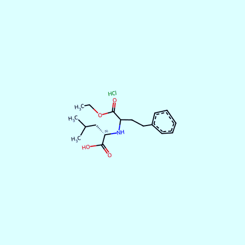 CCOC(=O)C(CCc1ccccc1)N[C@@H](CC(C)C)C(=O)O.Cl